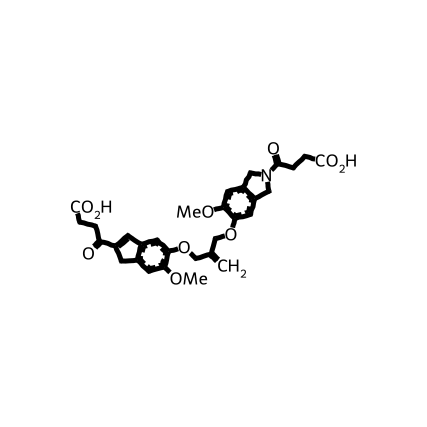 C=C(COc1cc2c(cc1OC)CC(C(=O)CCC(=O)O)=C2)COc1cc2c(cc1OC)CN(C(=O)CCC(=O)O)C2